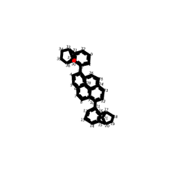 c1cc(-c2ccc3ccc4c(-c5cccc6c5C5CCC6C5)ccc5ccc2c3c54)c2c(c1)C1CCC2C1